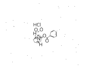 COC(=O)[C@@H]1[C@@H](OC(=O)c2ccccc2)C[C@@H]2CC[C@H]1N2C.Cl